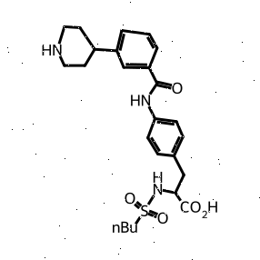 CCCCS(=O)(=O)NC(Cc1ccc(NC(=O)c2cccc(C3CCNCC3)c2)cc1)C(=O)O